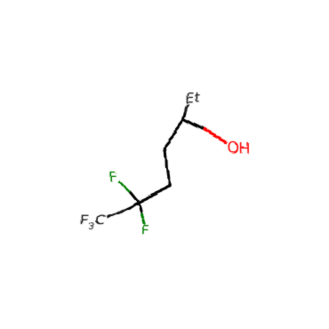 [CH2]CC(O)CCC(F)(F)C(F)(F)F